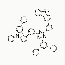 c1ccc(-c2cc(-c3ccccc3)cc(-c3nc(-c4cccc(-c5ccc6sc7ccccc7c6c5)c4)nc(-c4cccc(-c5cccc6c5c5cc(-c7ccccc7)ccc5n6-c5ccccc5)c4)n3)c2)cc1